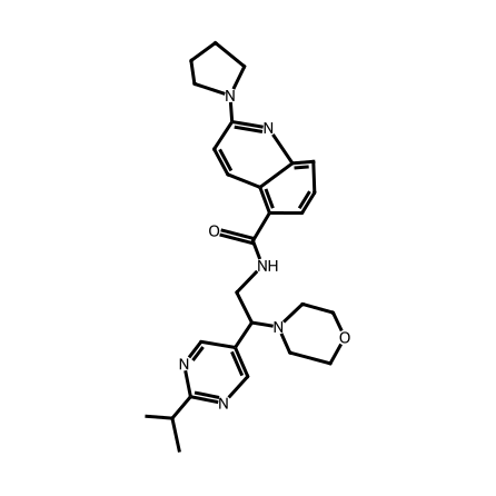 CC(C)c1ncc(C(CNC(=O)c2cccc3nc(N4CCCC4)ccc23)N2CCOCC2)cn1